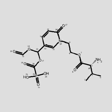 CC(C)[C@@H](N)C(=O)OCCn1cc(C(OC=O)OC(=O)P(=O)(O)O)ccc1=O